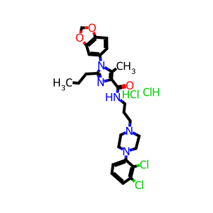 CCCc1nc(C(=O)NCCCN2CCN(c3cccc(Cl)c3Cl)CC2)c(C)n1-c1ccc2c(c1)OCO2.Cl.Cl